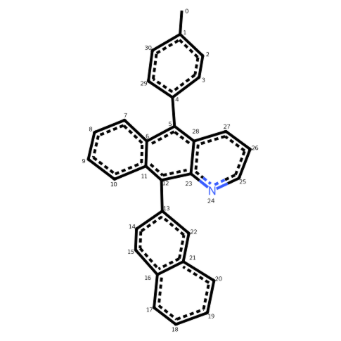 Cc1ccc(-c2c3ccccc3c(-c3ccc4ccccc4c3)c3ncccc23)cc1